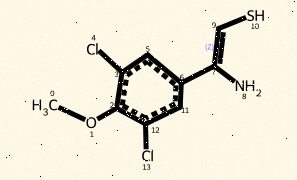 COc1c(Cl)cc(/C(N)=C/S)cc1Cl